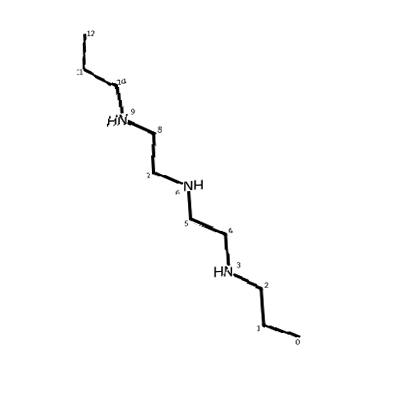 CCCNCCNCCNCCC